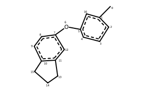 Cc1cccc(Oc2ccc3c(c2)CCC3)c1